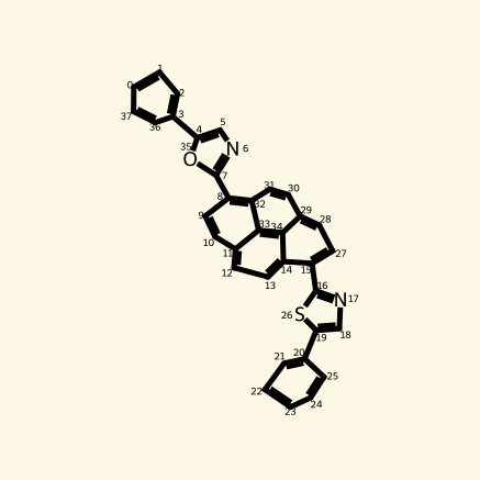 c1ccc(-c2cnc(-c3ccc4ccc5c(-c6ncc(-c7ccccc7)s6)ccc6ccc3c4c65)o2)cc1